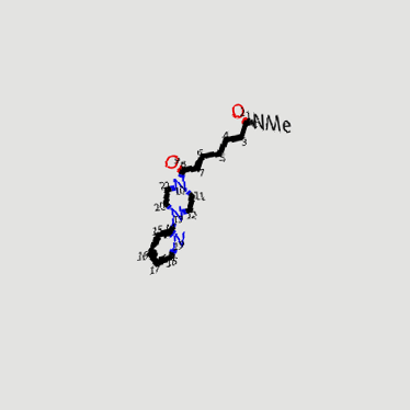 CNC(=O)CCCCCC(=O)N1CCN(c2ccccn2)CC1